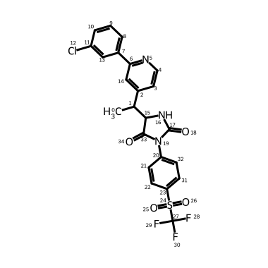 CC(c1ccnc(-c2cccc(Cl)c2)c1)C1NC(=O)N(c2ccc(S(=O)(=O)C(F)(F)F)cc2)C1=O